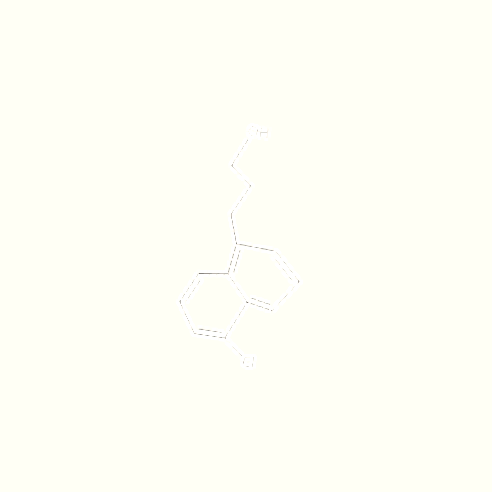 OCCCc1cccc2c(Cl)cccc12